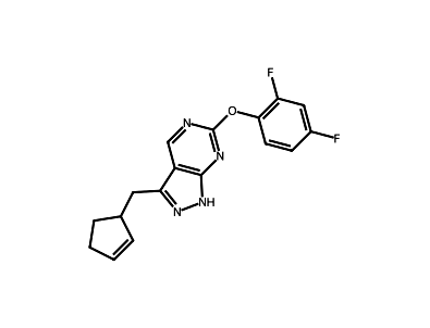 Fc1ccc(Oc2ncc3c(CC4C=CCC4)n[nH]c3n2)c(F)c1